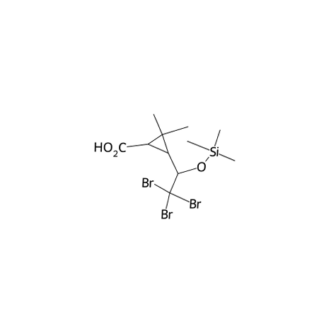 CC1(C)C(C(=O)O)C1C(O[Si](C)(C)C)C(Br)(Br)Br